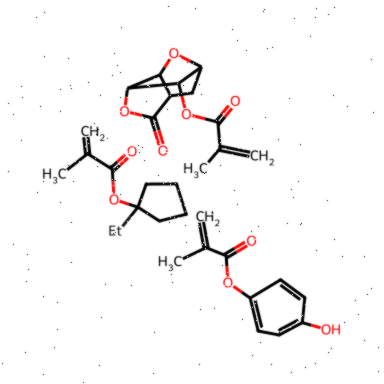 C=C(C)C(=O)OC1(CC)CCCC1.C=C(C)C(=O)OC1C2CC3C(=O)OC1C3O2.C=C(C)C(=O)Oc1ccc(O)cc1